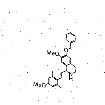 COc1cc(C)c(C=CC2NCCc3cc(OCc4ccccc4)c(OC)cc32)c(C)c1